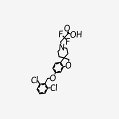 O=C(O)C(F)(F)CN1CCC2(CC1)COc1cc(OCc3c(Cl)cccc3Cl)ccc12